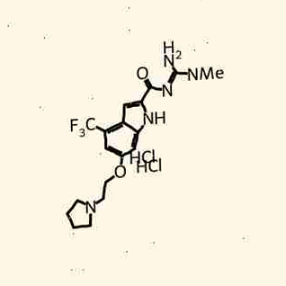 CNC(N)=NC(=O)c1cc2c(C(F)(F)F)cc(OCCN3CCCC3)cc2[nH]1.Cl.Cl